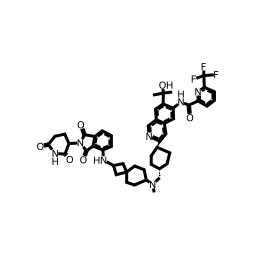 CN(C[C@H]1CC[C@H](c2cc3cc(NC(=O)c4cccc(C(F)(F)F)n4)c(C(C)(C)O)cc3cn2)CC1)C1CCC2(CC1)CC(Nc1cccc3c1C(=O)N(C1CCC(=O)NC1=O)C3=O)C2